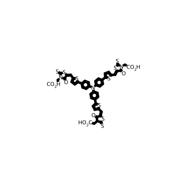 O=C(O)CC1C(=O)/C(=C\c2ccc(-c3ccc(N(c4ccc(-c5ccc(/C=C6\SC(=S)N(CC(=O)O)C6=O)s5)cc4)c4ccc(-c5ccc(/C=C6/SC(=S)N(CC(=O)O)C6=O)s5)cc4)cc3)s2)SC1=S